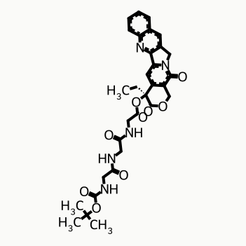 CC[C@@]1(OC(=O)CNC(=O)CNC(=O)CNC(=O)OC(C)(C)C)C(=O)OCc2c1cc1n(c2=O)Cc2cc3ccccc3nc2-1